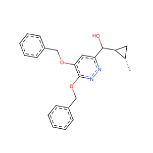 C[C@H]1CC1C(O)c1cc(OCc2ccccc2)c(OCc2ccccc2)nn1